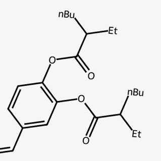 C=Cc1ccc(OC(=O)C(CC)CCCC)c(OC(=O)C(CC)CCCC)c1